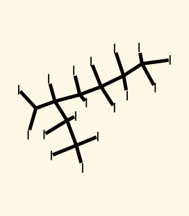 I[C](I)C(I)(C(I)(I)C(I)(I)I)C(I)(I)C(I)(I)C(I)(I)C(I)(I)I